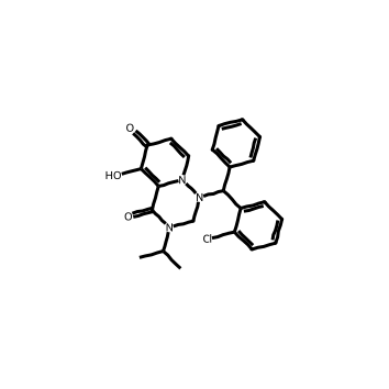 CC(C)N1CN(C(c2ccccc2)c2ccccc2Cl)n2ccc(=O)c(O)c2C1=O